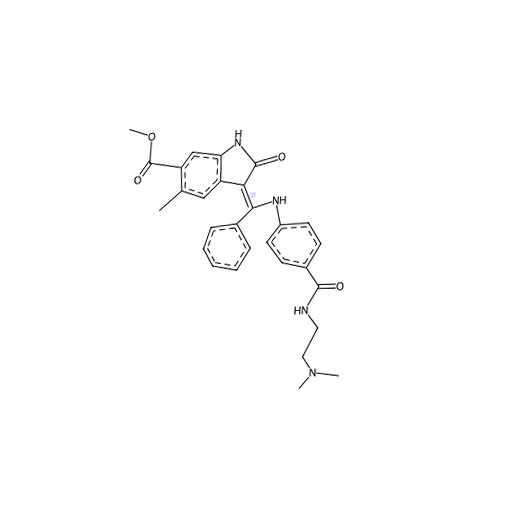 COC(=O)c1cc2c(cc1C)/C(=C(/Nc1ccc(C(=O)NCCN(C)C)cc1)c1ccccc1)C(=O)N2